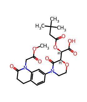 COC(=O)CN1C(=O)CCc2ccc(N3CCO[C@H]([C@@H](OC(=O)CC(C)(C)C)C(=O)O)C3=O)cc21